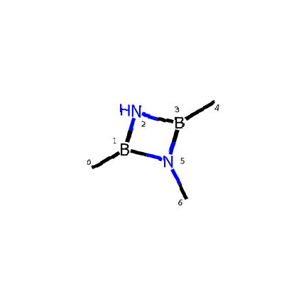 CB1NB(C)N1C